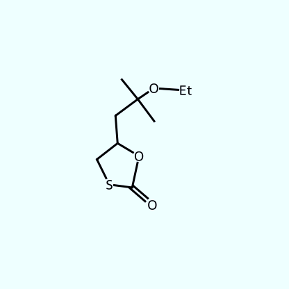 CCOC(C)(C)CC1CSC(=O)O1